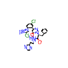 O=C(NCCc1cnccn1)[C@H](Cc1ccccc1)n1cnc(-c2cc(Cl)ccc2N2C=C(Cl)NN2)cc1=O